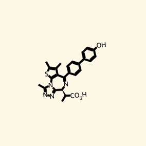 Cc1sc2c(c1C)C(c1ccc(-c3ccc(O)cc3)cc1)=N[C@@H](C(C)C(=O)O)c1nnc(C)n1-2